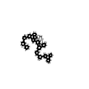 CC1(C)c2cccc3c4ccc(-c5cccc(-c6cccc(-c7ccccc7)c6)c5)cc4c4ccc(-c5ccc6c(c5)c5cc(-c7cccc(-c8cccc(-c9ccc%10c%11ccccc%11c%11ccccc%11c%10c9)c8)c7)cc7c8ccccc8n6c75)c1c4c23